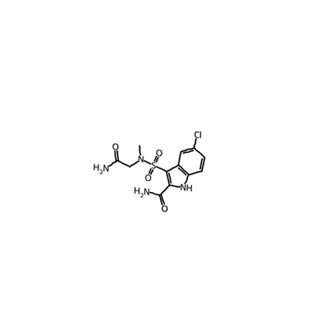 CN(CC(N)=O)S(=O)(=O)c1c(C(N)=O)[nH]c2ccc(Cl)cc12